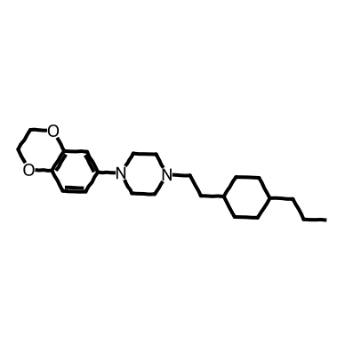 CCCC1CCC(CCN2CCN(c3ccc4c(c3)OCCO4)CC2)CC1